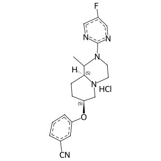 CC1[C@@H]2CC[C@H](Oc3cccc(C#N)c3)CN2CCN1c1ncc(F)cn1.Cl